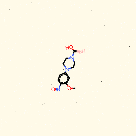 B=C(O)N1CCN(c2ccc(N=O)c(OC)c2)CC1